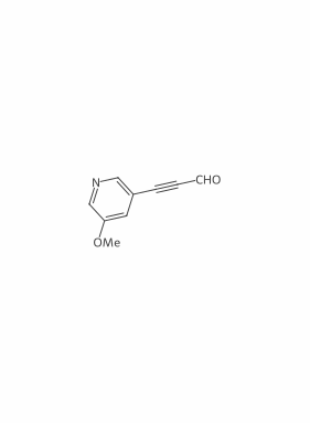 COc1cncc(C#CC=O)c1